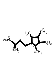 C=C(CCC1C(C)C(C)C(C)C1C)NC